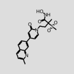 Cc1ccc2ccc(-c3ccn(CCC(C)(C(=O)NO)S(C)(=O)=O)c(=O)c3)cc2n1